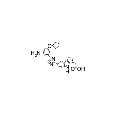 Nc1cc(OC2CCCC2)cc(-c2nc(-c3ccc4[nH]c5c(c4c3)CCC5CC(=O)O)no2)c1